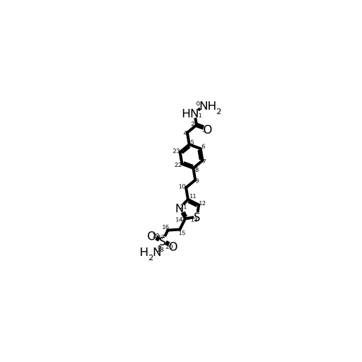 NNC(=O)Cc1ccc(CCc2csc(CCS(N)(=O)=O)n2)cc1